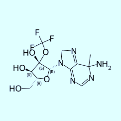 CC1(N)N=CN=C2C1=NCN2[C@@H]1O[C@H](CO)[C@@H](O)[C@]1(O)OC(F)(F)F